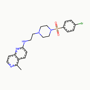 Cc1nccc2nc(NCCN3CCN(S(=O)(=O)c4ccc(Br)cc4)CC3)ccc12